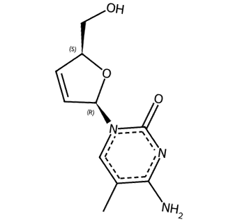 Cc1cn([C@H]2C=C[C@@H](CO)O2)c(=O)nc1N